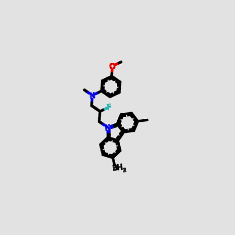 Bc1ccc2c(c1)c1cc(C)ccc1n2CC(F)CN(C)c1cccc(OC)c1